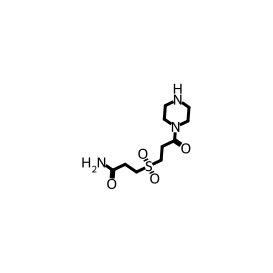 NC(=O)CCS(=O)(=O)CCC(=O)N1CCNCC1